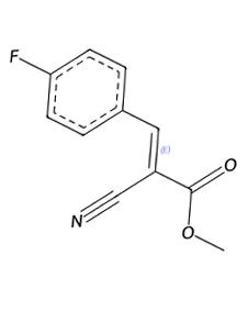 COC(=O)/C(C#N)=C/c1ccc(F)cc1